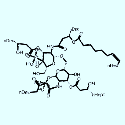 CCCCCC/C=C\CCCCCC(=O)O[C@H](CCCCCCCCCC)CC(=O)N[C@H]1[C@H](OC[C@H]2O[C@H](OP(=O)(O)O)[C@H](NC(=O)CC(=O)CCCCCCCCCCC)[C@@H](OC(=O)C[C@H](O)CCCCCCC)[C@@H]2O)O[C@H](CO)[C@](O)([P+]([O-])(O)O)[C@@H]1OC(=O)C[C@H](O)CCCCCCCCCC